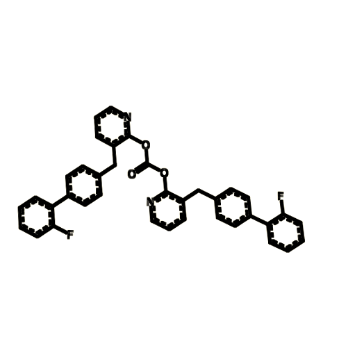 O=C(Oc1ncccc1Cc1ccc(-c2ccccc2F)cc1)Oc1ncccc1Cc1ccc(-c2ccccc2F)cc1